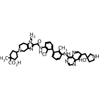 Cc1c(Nc2ncnc3cc(C[C@]4(O)CCNC4)cnc23)cccc1-c1cccc(NC(=O)c2nc3c(n2C)CCN(C2CCC(C)(C(=O)O)CC2)C3)c1Cl